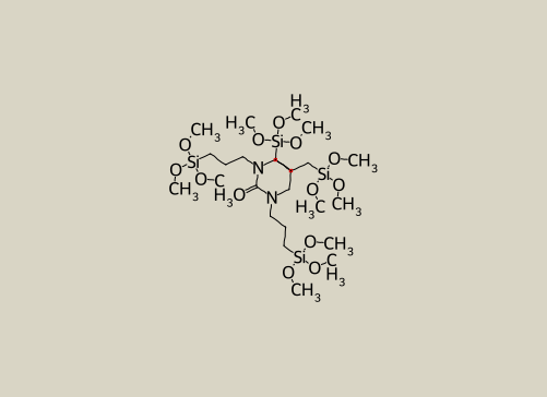 CO[Si](CCCN(CCC[Si](OC)(OC)OC)C(=O)N(CCC[Si](OC)(OC)OC)CCC[Si](OC)(OC)OC)(OC)OC